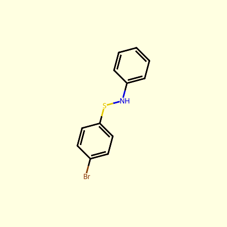 Brc1ccc(SNc2ccccc2)cc1